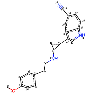 COc1ccc(CCNC2CC2c2c[nH]c3ccc(C#N)cc23)cc1